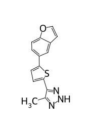 Cc1n[nH]nc1-c1ccc(-c2ccc3occc3c2)s1